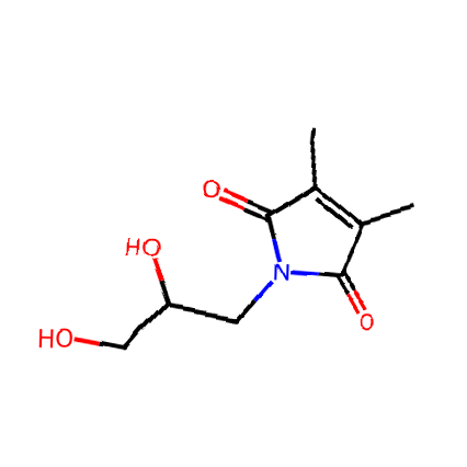 CC1=C(C)C(=O)N(CC(O)CO)C1=O